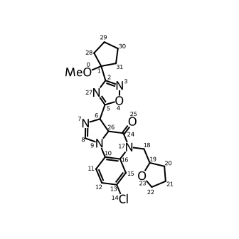 COC1(c2noc(C3N=CN4c5ccc(Cl)cc5N(CC5CCCO5)C(=O)C34)n2)CCCC1